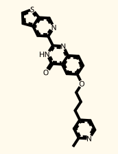 Cc1cc(CCCOc2ccc3nc(-c4cc5ccsc5cn4)[nH]c(=O)c3c2)ccn1